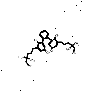 CC(C)(CO)CCCC1=CC(O)C=C(c2ccccc2C2=CC(O)C=C(CCCC(C)(C)CO)C2O)C1O